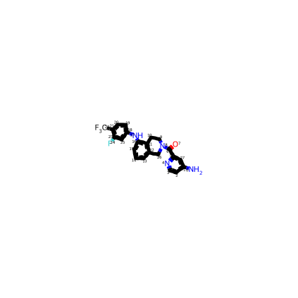 Nc1ccnc(C(=O)N2CCc3c(cccc3Nc3ccc(C(F)(F)F)c(F)c3)C2)c1